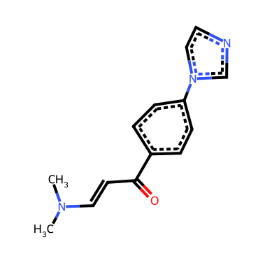 CN(C)C=CC(=O)c1ccc(-n2ccnc2)cc1